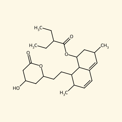 CCC(CC)C(=O)OC1CC(C)C=C2C=CC(C)C(CCC3CC(O)CC(=O)O3)C21